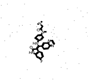 CN(C)CC(=O)N(C)c1ccc(N/C(=C2\C(=O)Nc3cc(F)ccc32)c2ccc3nccnc3c2)cc1